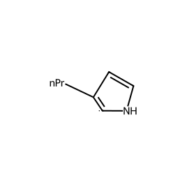 CCCc1[c][nH]cc1